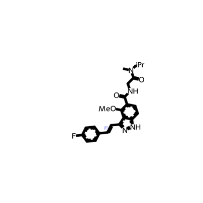 COc1c(C(=O)NCC(=O)N(C)C(C)C)ccc2[nH]nc(/C=C/c3ccc(F)cc3)c12